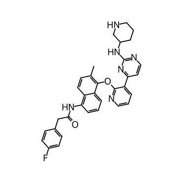 Cc1ccc2c(NC(=O)Cc3ccc(F)cc3)cccc2c1Oc1ncccc1-c1ccnc(NC2CCCNC2)n1